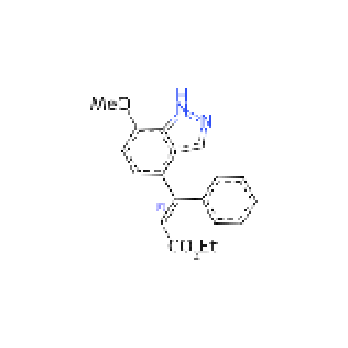 CCOC(=O)/C=C(\c1ccccc1)c1ccc(OC)c2[nH]ncc12